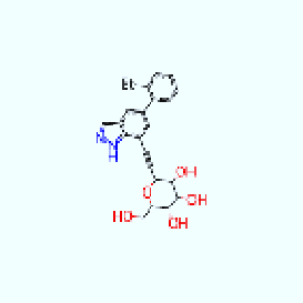 CCc1ccccc1-c1cc(C#CC2OC(CO)[C@@H](O)C(O)C2O)c2[nH]ncc2c1